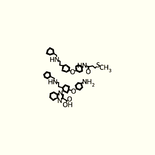 CSCCC(=O)Nc1ccc(Oc2ccc(CCNCc3ccccc3)cc2)cc1.Nc1ccc(Oc2ccc(CCNCc3ccccc3)cc2)cc1.O=C(O)c1cnc2ccccc2n1